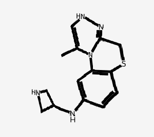 CC1=CNN=C2CSc3ccc(NC4CNC4)cc3N12